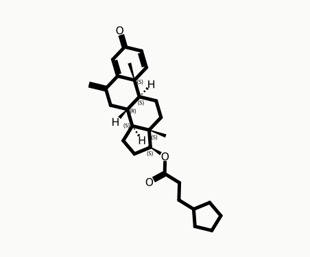 C=C1C[C@H]2[C@@H]3CC[C@H](OC(=O)CCC4CCCC4)[C@@]3(C)CC[C@@H]2[C@@]2(C)C=CC(=O)C=C12